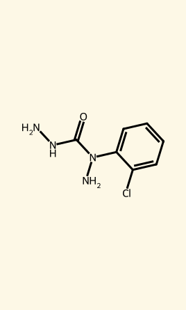 NNC(=O)N(N)c1ccccc1Cl